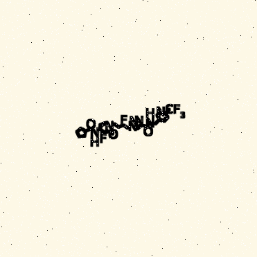 O=C(NCc1ccc(C(F)(F)F)nc1)c1cn(CC(F)CCn2ccc(NC(=O)C3CCCC3)c(F)c2=O)nn1